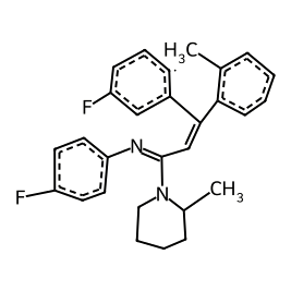 Cc1ccccc1C(=CC(=Nc1ccc(F)cc1)N1CCCCC1C)c1[c]ccc(F)c1